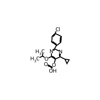 CC(C)Oc1nc(-c2ccc(Cl)cc2)nc(C2CC2)c1OC(=O)O